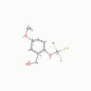 COc1ccc(OC(F)(F)F)c([CH]O)c1